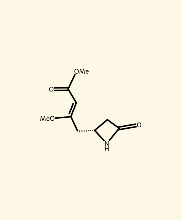 COC(=O)C=C(C[C@@H]1CC(=O)N1)OC